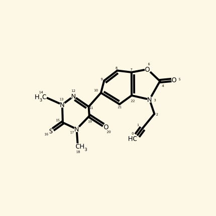 C#CCn1c(=O)oc2ccc(-c3nn(C)c(=S)n(C)c3=O)cc21